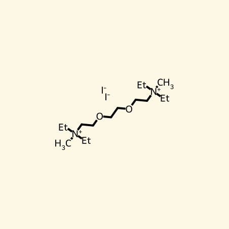 CC[N+](C)(CC)CCOCCOCC[N+](C)(CC)CC.[I-].[I-]